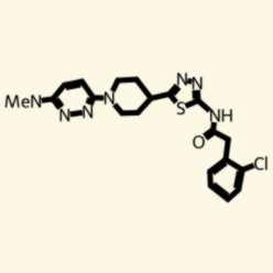 CNc1ccc(N2CCC(c3nnc(NC(=O)Cc4ccccc4Cl)s3)CC2)nn1